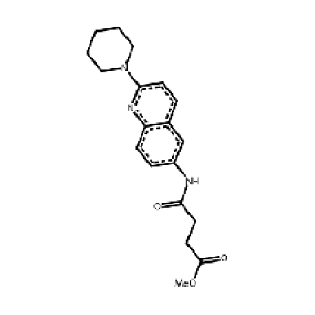 COC(=O)CCC(=O)Nc1ccc2nc(N3CCCCC3)ccc2c1